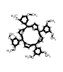 COc1cc(OC)cc(C2=C3C=CC(=N3)C(c3cc(OC)cc(OC)c3)=C3C=CC(=N3)C(c3cc(OC)cc(OC)c3)=C3C=CC(=N3)C(c3cc(OC)cc(OC)c3)=C3C=CC2=N3)c1